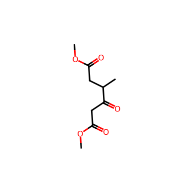 COC(=O)CC(=O)C(C)CC(=O)OC